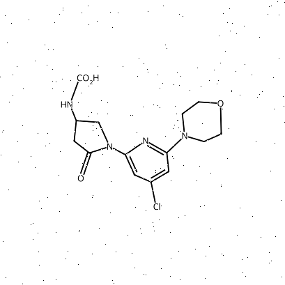 O=C(O)NC1CC(=O)N(c2cc(Cl)cc(N3CCOCC3)n2)C1